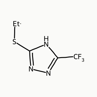 C[CH]Sc1nnc(C(F)(F)F)[nH]1